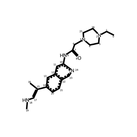 CCN1CCN(CC(=O)Nc2cc3cc(/C(C)=C/NC)ccc3cn2)CC1